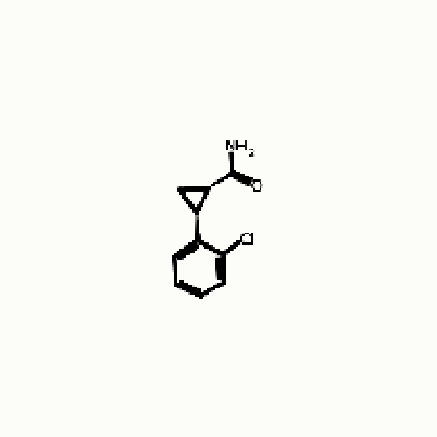 NC(=O)[C@@H]1C[C@@H]1c1ccccc1Cl